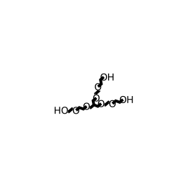 OCCOCCOCC(COCCOCCO)COCCOCCO